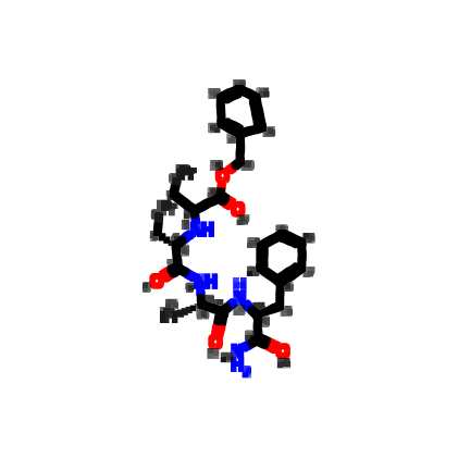 CC(C)CC(N[C@@H](CC(C)C)C(=O)N[C@H](C(=O)N[C@@H](Cc1ccccc1)C(N)=O)C(C)C)C(=O)OCc1ccccc1